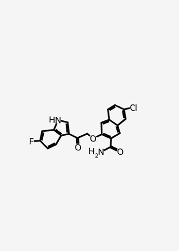 NC(=O)c1cc2cc(Cl)ccc2cc1OCC(=O)c1c[nH]c2cc(F)ccc12